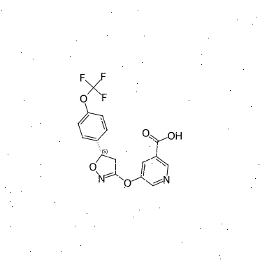 O=C(O)c1cncc(OC2=NO[C@H](c3ccc(OC(F)(F)F)cc3)C2)c1